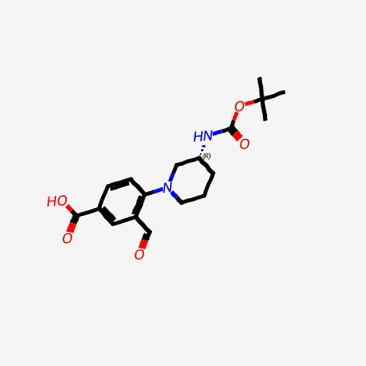 CC(C)(C)OC(=O)N[C@@H]1CCCN(c2ccc(C(=O)O)cc2C=O)C1